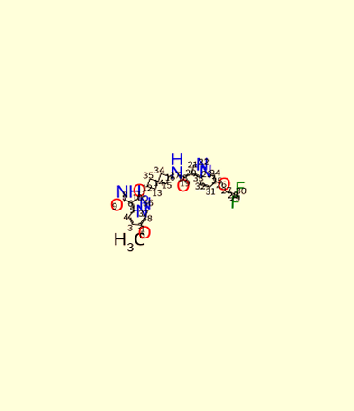 COc1ccc2c(C(N)=O)c(OC3CC4(CC(NC(=O)c5cnn6cc(OCC(F)F)ccc56)C4)C3)nn2c1